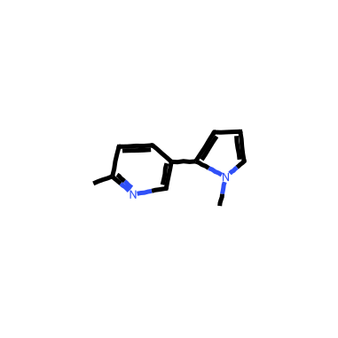 Cc1ccc(-c2cccn2C)cn1